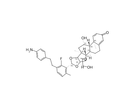 Cc1ccc(CCc2ccc(N)cc2)c(F)c1[C@H]1O[C@@H]2C[C@H]3[C@@H]4CCC5=CC(=O)C=C[C@]5(C)[C@H]4[C@@H](O)C[C@]3(C)[C@]2(C(=O)CO)O1